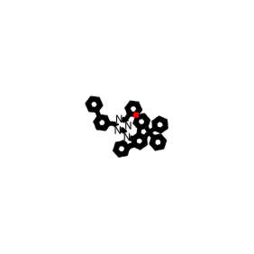 c1ccc(-c2cccc(-c3nc(-c4ccccc4)nc(-n4c5ccccc5c5ccc6c(c54)-c4ccccc4C6(c4ccccc4)c4ccccc4)n3)c2)cc1